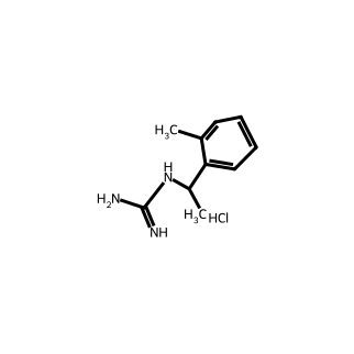 Cc1ccccc1C(C)NC(=N)N.Cl